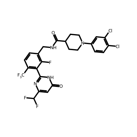 O=C(NCc1ccc(C(F)(F)F)c(-c2nc(C(F)F)cc(=O)[nH]2)c1F)C1CCN(c2ccc(Cl)c(Cl)c2)CC1